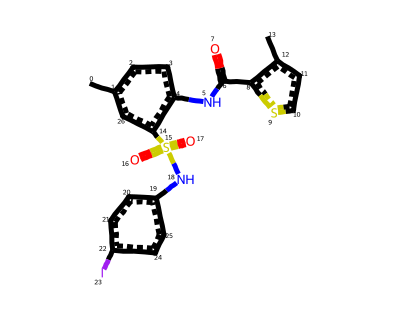 Cc1ccc(NC(=O)c2sccc2C)c(S(=O)(=O)Nc2ccc(I)cc2)c1